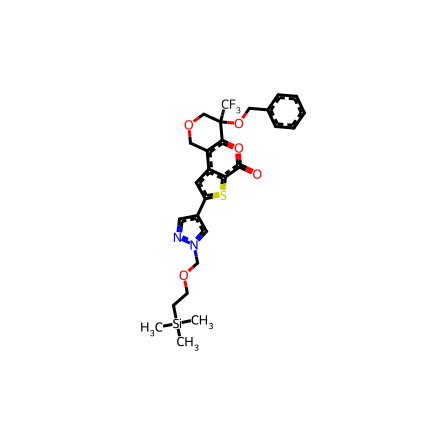 C[Si](C)(C)CCOCn1cc(-c2cc3c4c(oc(=O)c3s2)C(OCc2ccccc2)(C(F)(F)F)COC4)cn1